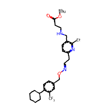 CCc1nc(CC=NOCc2ccc(C3CCCCC3)c(C(F)(F)F)c2)ccc1CNCCC(=O)OC(C)(C)C